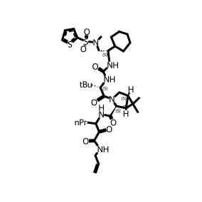 C=CCNC(=O)C(=O)C(CCC)NC(=O)[C@@H]1[C@@H]2[C@H](CN1C(=O)[C@@H](NC(=O)N[C@H](CN(C)S(=O)(=O)c1cccs1)C1CCCCC1)C(C)(C)C)C2(C)C